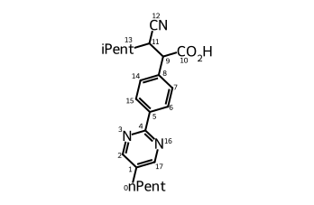 CCCCCc1cnc(-c2ccc(C(C(=O)O)C(C#N)C(C)CCC)cc2)nc1